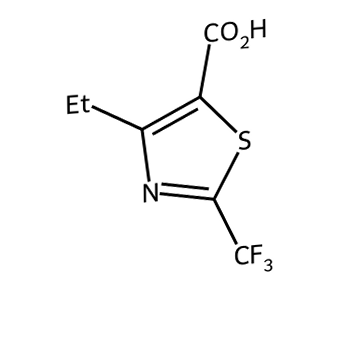 CCc1nc(C(F)(F)F)sc1C(=O)O